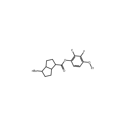 CCCCC1CCC2C(C(=O)Oc3ccc(OCC)c(F)c3F)CCC12